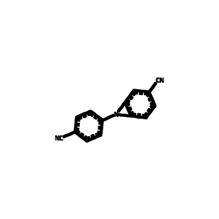 N#Cc1ccc(N2c3ccc(C#N)cc32)cc1